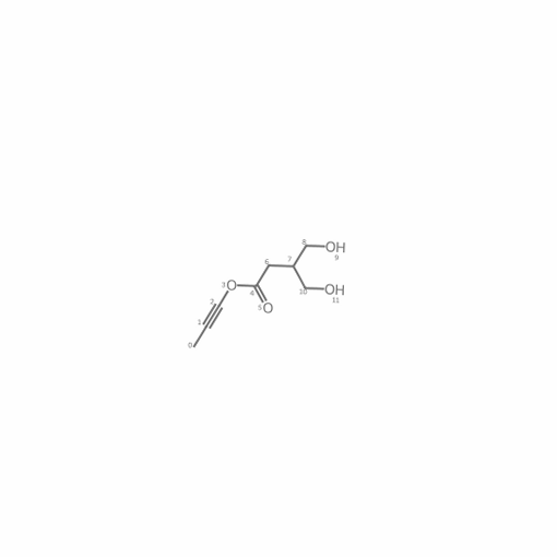 CC#COC(=O)CC(CO)CO